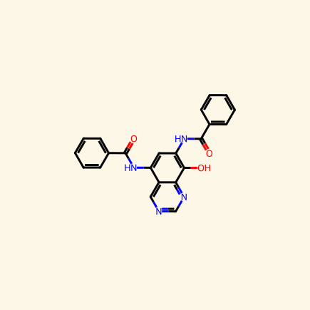 O=C(Nc1cc(NC(=O)c2ccccc2)c2cncnc2c1O)c1ccccc1